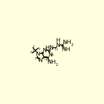 CC(C)(C)n1cnc2c(N)nc(NCNC(=N)N)nc21